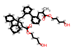 CC(Cc1ccccc1-c1ccccc1CCC1(CC(C)C(=O)OCCCCO)c2ccccc2-c2ccccc21)C(=O)OCCCCO